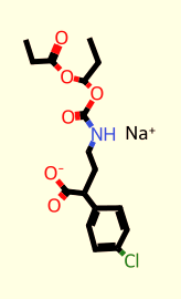 CCC(=O)OC(CC)OC(=O)NCCC(C(=O)[O-])c1ccc(Cl)cc1.[Na+]